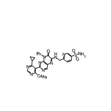 COc1ncnc(C2CC2)c1-c1ncc2nc(NCc3ccc(S(N)(=O)=O)cn3)c(=O)n(C(C)C)c2n1